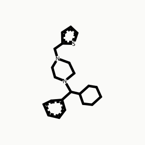 c1ccc(C(C2CCCCC2)N2CCN(Cc3cccs3)CC2)cc1